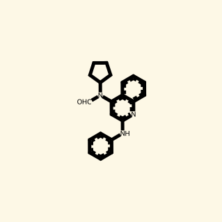 O=CN(c1cc(Nc2ccccc2)nc2ccccc12)C1CCCC1